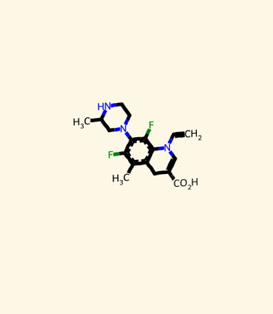 C=CN1C=C(C(=O)O)Cc2c(C)c(F)c(N3CCNC(C)C3)c(F)c21